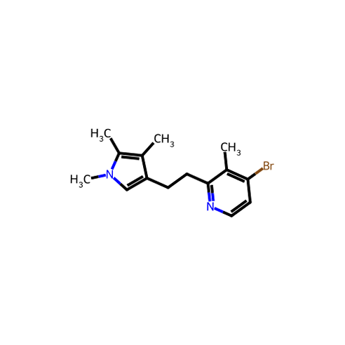 Cc1c(Br)ccnc1CCc1cn(C)c(C)c1C